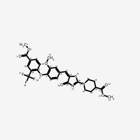 COC(=O)c1ccc(Oc2ccc(C=C3SC(N4CCC(C(=O)OC)CC4)=NC3=O)cc2OC)c(C(F)(F)F)c1